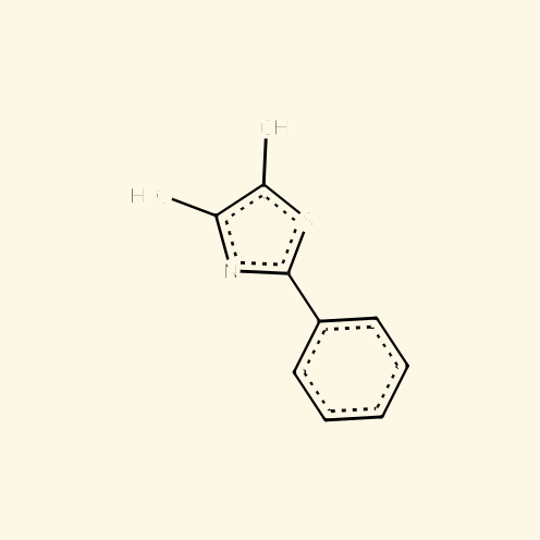 Cc1nc(-c2ccccc2)sc1C